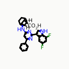 O=C(O)[C@@H]1C2CCC(CC2)[C@H]1Nc1cc(-c2ccccc2)nc(-c2c[nH]c3c(F)cc(F)cc23)n1